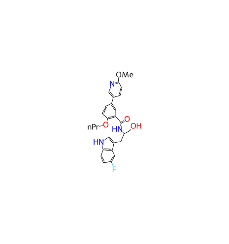 CCCOc1ccc(-c2ccc(OC)nc2)cc1C(=O)NC(CO)Cc1c[nH]c2ccc(F)cc12